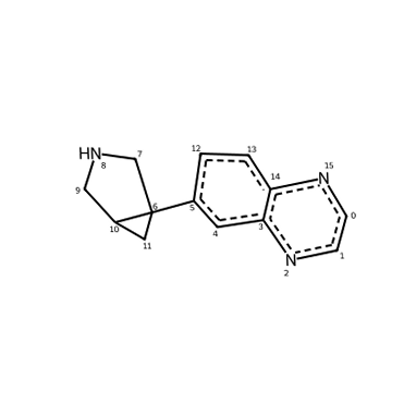 c1cnc2cc(C34CNCC3C4)ccc2n1